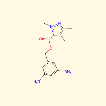 Cc1nn(C)c(C(=O)OCc2cc(N)cc(N)c2)c1C